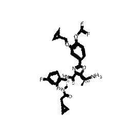 C[C@H](N)c1oc(-c2ccc(OC(F)F)c(OCC3CC3)c2)nc1C(=O)N[C@H](CNC(=O)CC1CC1)c1ccc(F)cc1F